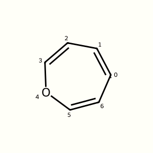 [C]1=CC=COC=C1